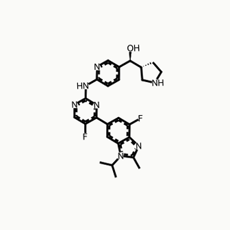 Cc1nc2c(F)cc(-c3nc(Nc4ccc([C@@H](O)[C@@H]5CCNC5)cn4)ncc3F)cc2n1C(C)C